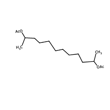 CC(=O)OC(C)CCCCCCCCC(C)OC(C)=O